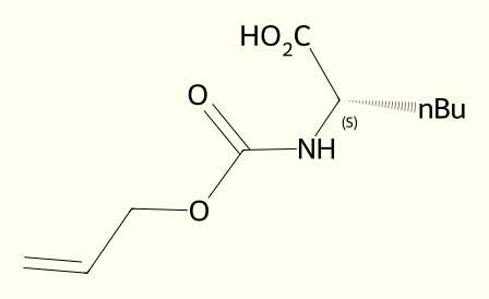 C=CCOC(=O)N[C@@H](CCCC)C(=O)O